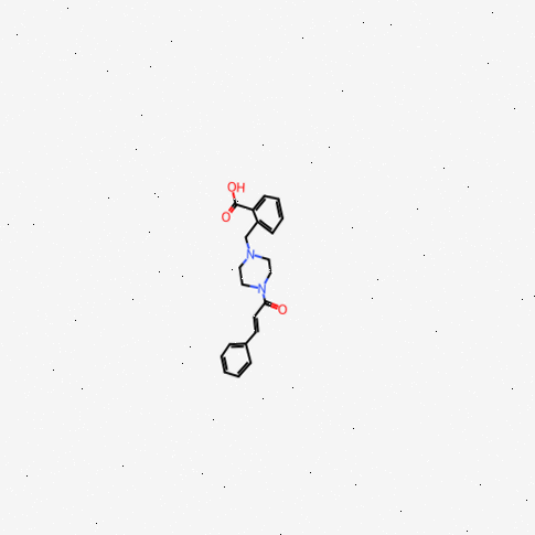 O=C(O)c1ccccc1CN1CCN(C(=O)/C=C/c2ccccc2)CC1